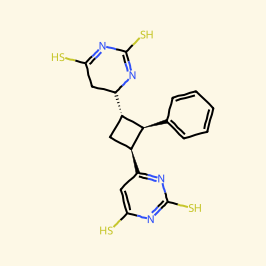 SC1=NC(S)=NC([C@H]2C[C@H](c3cc(S)nc(S)n3)[C@@H]2c2ccccc2)C1